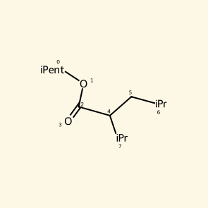 CCCC(C)OC(=O)C(CC(C)C)C(C)C